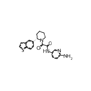 Nc1ccc(NC(=O)C(=O)N2CCCC[C@H]2c2ccc3sccc3c2)cn1